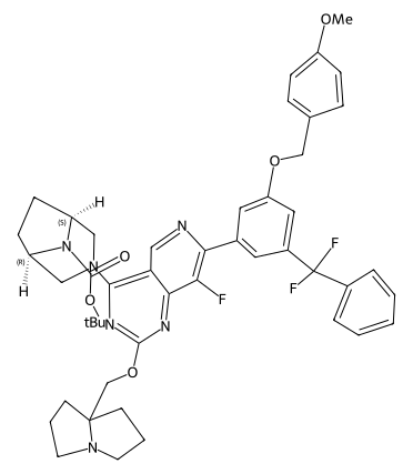 COc1ccc(COc2cc(-c3ncc4c(N5C[C@H]6CC[C@@H](C5)N6C(=O)OC(C)(C)C)nc(OCC56CCCN5CCC6)nc4c3F)cc(C(F)(F)c3ccccc3)c2)cc1